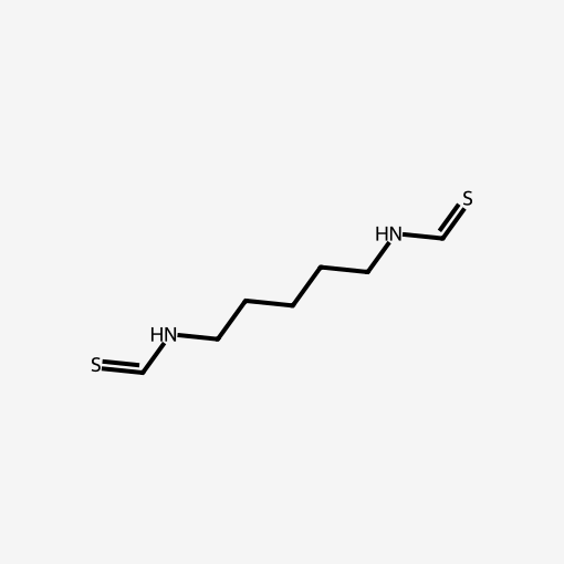 S=CNCCCCCNC=S